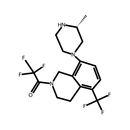 C[C@@H]1CN(c2ccc(C(F)(F)F)c3c2CN(C(=O)C(F)(F)F)CC3)CCN1